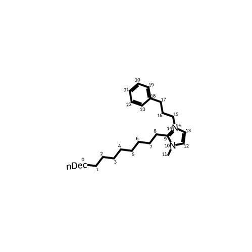 CCCCCCCCCCCCCCCCCCc1n(C)cc[n+]1CCCc1ccccc1